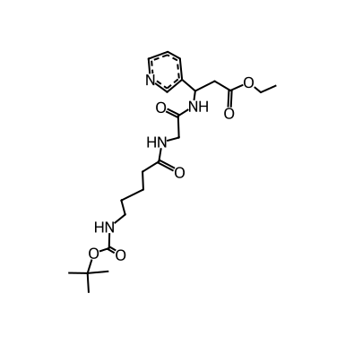 CCOC(=O)CC(NC(=O)CNC(=O)CCCCNC(=O)OC(C)(C)C)c1cccnc1